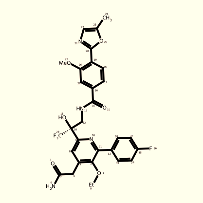 CCOc1c(CC(N)=O)cc([C@@](O)(CNC(=O)c2ccc(-c3ncc(C)o3)c(OC)c2)C(F)(F)F)nc1-c1ccc(F)cc1